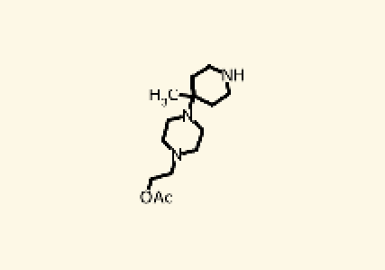 CC(=O)OCCN1CCN(C2(C)CCNCC2)CC1